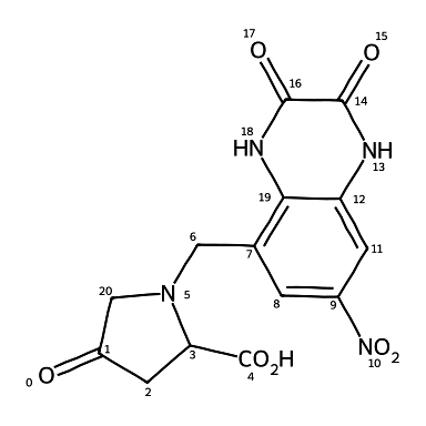 O=C1CC(C(=O)O)N(Cc2cc([N+](=O)[O-])cc3[nH]c(=O)c(=O)[nH]c23)C1